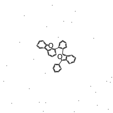 c1ccc(-c2oc(-c3ccccc3-c3cccc4c3oc3ccccc34)c3ccccc23)cc1